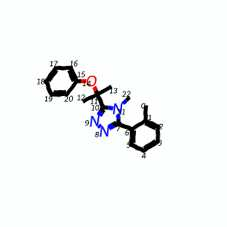 Cc1ccccc1-c1nnc(C(C)(C)Oc2ccccc2)n1C